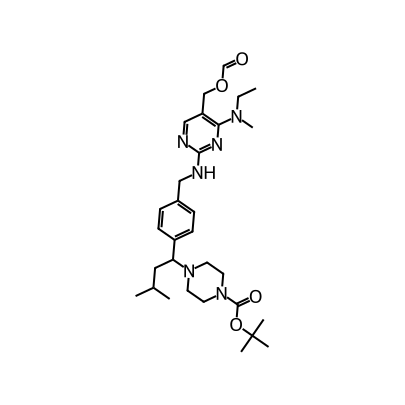 CCN(C)c1nc(NCc2ccc(C(CC(C)C)N3CCN(C(=O)OC(C)(C)C)CC3)cc2)ncc1COC=O